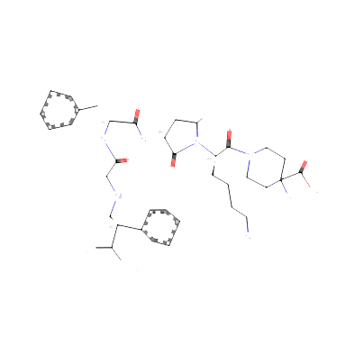 CC(C)[C@@H](CNCC(=O)N[C@H](Cc1ccccc1)C(=O)N[C@@H]1CC(C)N([C@H](CCCCN)C(=O)N2CCC(N)(C(=O)O)CC2)C1=O)c1ccccc1